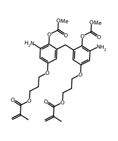 C=C(C)C(=O)OCCCOc1cc(N)c(OC(=O)OC)c(Cc2cc(OCCCOC(=O)C(=C)C)cc(N)c2OC(=O)OC)c1